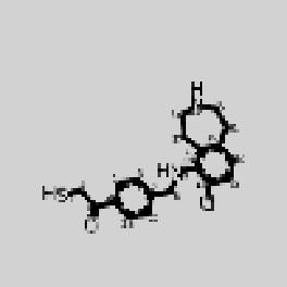 O=C(CS)c1ccc(CNc2c(Cl)ccc3c2CCNCC3)cc1